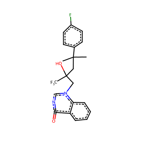 CC(C)(CC(O)(Cn1cnc(=O)c2ccccc21)C(F)(F)F)c1ccc(F)cc1